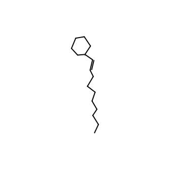 CCCCCCCCC=C[C]1CCCCC1